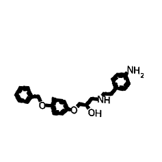 Nc1ccc(CCNCC(O)COc2ccc(OCc3ccccc3)cc2)cc1